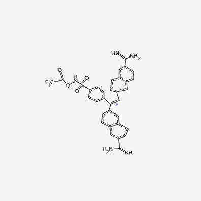 N=C(N)c1ccc2cc(/C=C(\c3ccc(S(=O)(=O)NOC(=O)C(F)(F)F)cc3)c3ccc4cc(C(=N)N)ccc4c3)ccc2c1